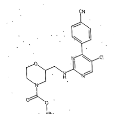 CCCCOC(=O)N1CCOC(CNc2ncc(Cl)c(-c3ccc(C#N)cc3)n2)C1